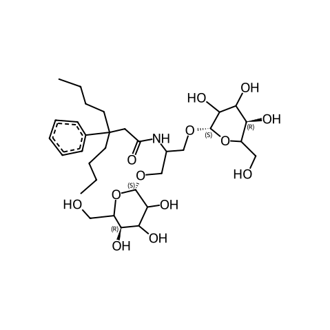 CCCCC(CCCC)(CC(=O)NC(CO[C@H]1OC(CO)[C@H](O)C(O)C1O)CO[C@H]1OC(CO)[C@H](O)C(O)C1O)c1ccccc1